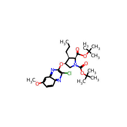 CCC[C@@H]1[C@@H](Oc2nc3cc(OC)ccc3nc2Cl)CN(C(=O)OC(C)(C)C)[C@@H]1C(=O)OC(C)(C)C